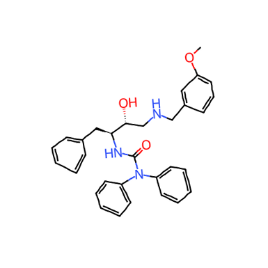 COc1cccc(CNC[C@@H](O)[C@H](Cc2ccccc2)NC(=O)N(c2ccccc2)c2ccccc2)c1